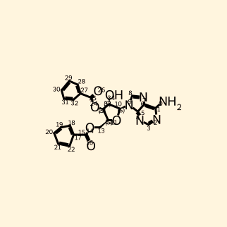 Nc1ncnc2c1ncn2[C@H]1O[C@@H](COC(=O)c2ccccc2)[C@@H](OC(=O)c2ccccc2)[C@@H]1O